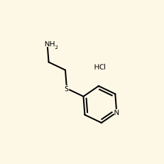 Cl.NCCSc1ccncc1